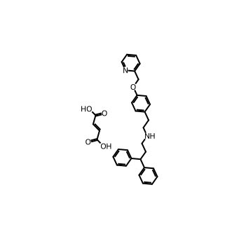 O=C(O)C=CC(=O)O.c1ccc(C(CCNCCc2ccc(OCc3ccccn3)cc2)c2ccccc2)cc1